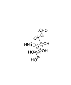 O=COC(=O)[C@H](O)[C@@H](O)[C@H](O)[C@H](O)CO.[NaH]